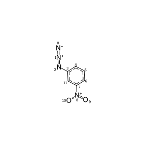 [N-]=[N+]=Nc1cccc([N+](=O)[O-])c1